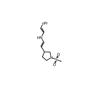 CCC/C=C/N/C=C/C1CCN(S(C)(=O)=O)C1